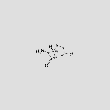 NC1C(=O)N2C=C(Cl)CS[C@@H]12